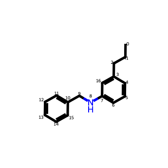 C[CH]Cc1cccc(NCc2ccccc2)c1